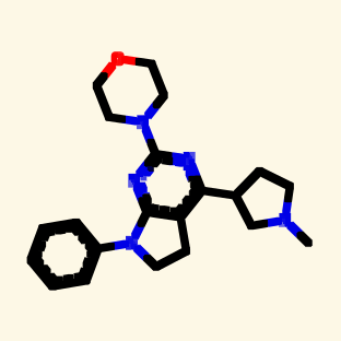 CN1CCC(c2nc(N3CCOCC3)nc3c2CCN3c2ccccc2)C1